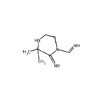 CC1(C)NCCN(C=N)C1=N